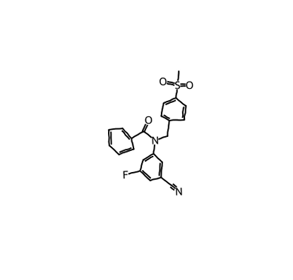 CS(=O)(=O)c1ccc(CN(C(=O)c2ccccc2)c2cc(F)cc(C#N)c2)cc1